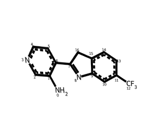 Nc1cnccc1C1=Nc2cc(C(F)(F)F)ccc2C1